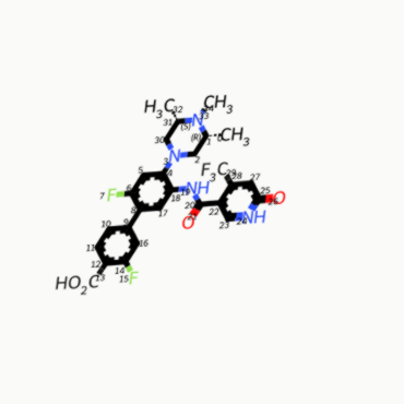 C[C@@H]1CN(c2cc(F)c(-c3ccc(C(=O)O)c(F)c3)cc2NC(=O)c2c[nH]c(=O)cc2C(F)(F)F)C[C@H](C)N1C